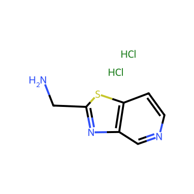 Cl.Cl.NCc1nc2cnccc2s1